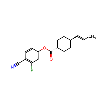 CC=C[C@H]1CC[C@H](C(=O)Oc2ccc(C#N)c(F)c2)CC1